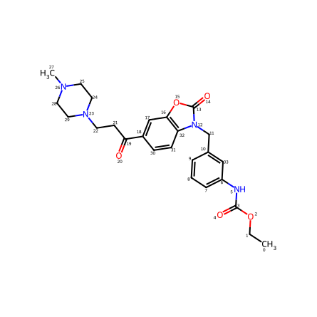 CCOC(=O)Nc1cccc(Cn2c(=O)oc3cc(C(=O)CCN4CCN(C)CC4)ccc32)c1